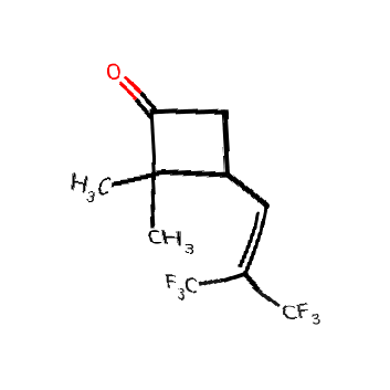 CC1(C)C(=O)CC1C=C(C(F)(F)F)C(F)(F)F